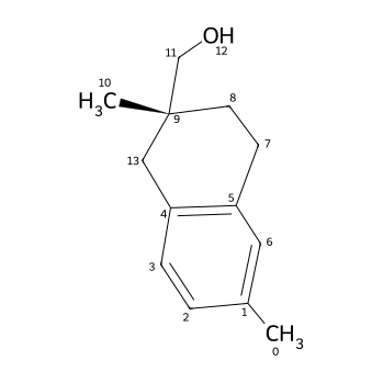 Cc1ccc2c(c1)CC[C@@](C)(CO)C2